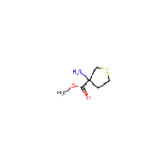 COC(=O)C1(N)CCSC1